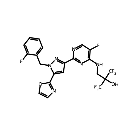 OC(CNc1nc(-c2cc(-c3ncco3)n(Cc3ccccc3F)n2)ncc1F)(C(F)(F)F)C(F)(F)F